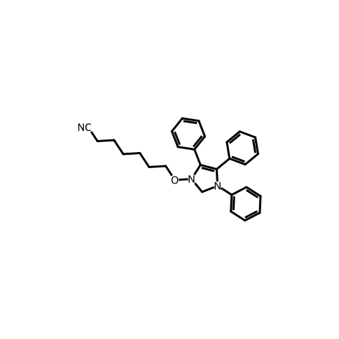 N#CCCCCCCON1CN(c2ccccc2)C(c2ccccc2)=C1c1ccccc1